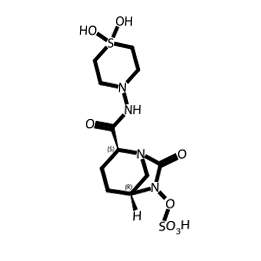 O=C(NN1CCS(O)(O)CC1)[C@@H]1CC[C@@H]2CN1C(=O)N2OS(=O)(=O)O